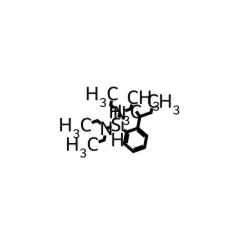 CCC(C)c1ccccc1[SiH](N(CC)CC)N(CC)CC